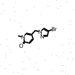 Cn1cc(Cn2cc(Br)cn2)ccc1=O